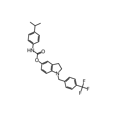 CC(C)c1ccc(NC(=O)Oc2ccc3c(c2)CCN3Cc2ccc(C(F)(F)F)cc2)cc1